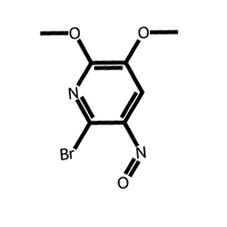 COc1cc(N=O)c(Br)nc1OC